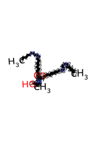 CCCCC/C=C\C/C=C\CCCCCCCCO[C@@H]1CN(CC(C)CO)C[C@H]1OCCCCCCCC/C=C\C/C=C\CCCCC